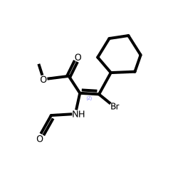 COC(=O)/C(NC=O)=C(/Br)C1CCCCC1